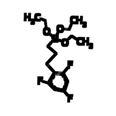 CCO[Si](CCCc1c(F)cc(F)cc1F)(OCC)OCC